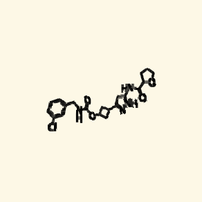 O=C(NCc1cccc(Cl)c1)OC1CC(c2cc(NC(=O)C3CCCO3)[nH]n2)C1